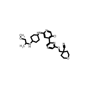 COCC(C)NC1CCC(Nc2cc(-c3cncc(OCC4(C#N)CCOCC4)n3)c(Cl)cn2)CC1